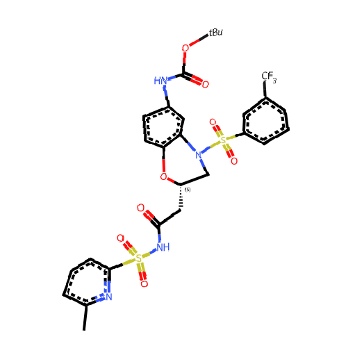 Cc1cccc(S(=O)(=O)NC(=O)C[C@H]2CN(S(=O)(=O)c3cccc(C(F)(F)F)c3)c3cc(NC(=O)OC(C)(C)C)ccc3O2)n1